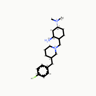 CC(=O)N(C)[C@@H]1CCC(CN2CCCC(Cc3ccc(F)cc3)C2)C(N)C1